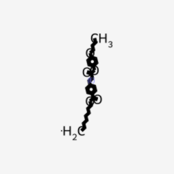 [CH2]CCCCCCCOC(=O)c1ccc(/C=C/C(=O)Oc2ccc(OCCCC)cc2)cc1